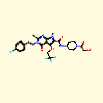 Cc1nc2c(c(OCC(F)(F)F)c(C(=O)NC3CCN(C(=O)CO)CC3)n2C)c(=O)n1CCc1ccc(F)cc1